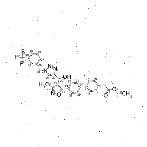 CCOC(=O)Cc1ccc(-c2ccc(-c3onc(C)c3C(O)c3cn(Cc4cccc(C(F)(F)F)c4)nn3)cc2)cc1